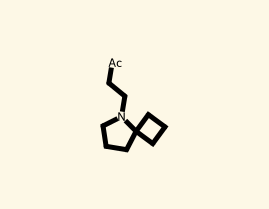 CC(=O)CCN1CCCC12CCC2